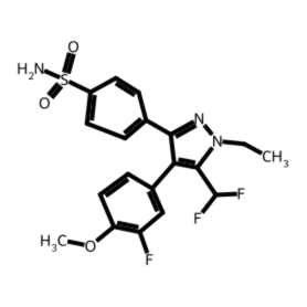 CCn1nc(-c2ccc(S(N)(=O)=O)cc2)c(-c2ccc(OC)c(F)c2)c1C(F)F